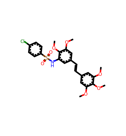 COc1cc(C=Cc2cc(OC)c(OC)c(OC)c2)cc(NS(=O)(=O)c2ccc(Cl)cc2)c1OC